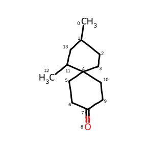 CC1CCC2(CCC(=O)CC2)C(C)C1